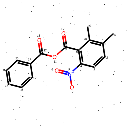 Cc1ccc([N+](=O)[O-])c(C(=O)OC(=O)c2ccccc2)c1C